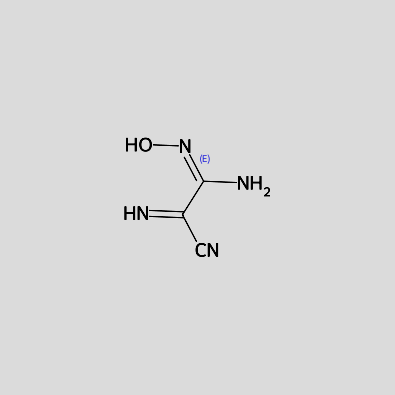 N#CC(=N)/C(N)=N\O